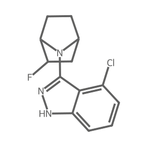 FC1CC2CCC1N2c1n[nH]c2cccc(Cl)c12